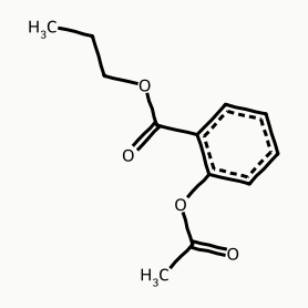 CCCOC(=O)c1ccccc1OC(C)=O